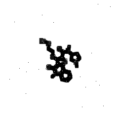 CCOCCOc1c(C(=O)N(C)C2CCN(C)C2)sc2c1c(=O)n(C)c1ccccc21